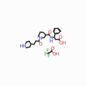 O=C(O)C(F)(F)F.O=C(O)CC(NC(=O)C1CCCN(C(=O)CCC2CCNCC2)C1)c1ccccc1